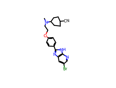 CN(CCOc1ccc(-c2nc3cc(Br)cnc3[nH]2)cc1)C1CCC(C#N)CC1